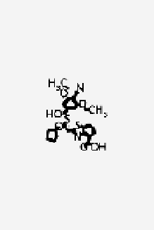 CCOc1cc([C@@H](O)S[C@H](Cc2nc3c(C(=O)O)cccc3s2)OC2CCCC2)cc(OCC)c1C#N